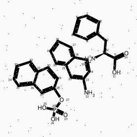 N[C@@H](Cc1ccccc1)C(=O)O.Nc1ccc2ccccc2c1.O=P(O)(O)Oc1ccc2ccccc2c1